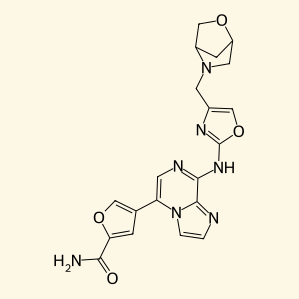 NC(=O)c1cc(-c2cnc(Nc3nc(CN4CC5CC4CO5)co3)c3nccn23)co1